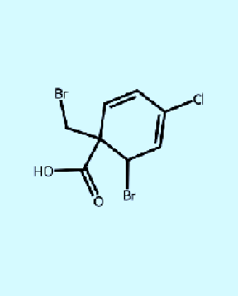 O=C(O)C1(CBr)C=CC(Cl)=CC1Br